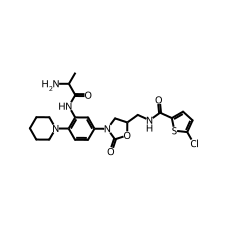 CC(N)C(=O)Nc1cc(N2CC(CNC(=O)c3ccc(Cl)s3)OC2=O)ccc1N1CCCCC1